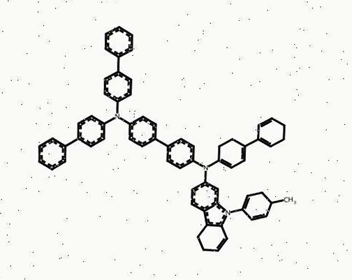 CC1C=CC(n2c3c(c4ccc(N(C5=CC=C(C6=CCCC=C6)CC5)c5ccc(-c6ccc(N(c7ccc(-c8ccccc8)cc7)c7ccc(-c8ccccc8)cc7)cc6)cc5)cc42)CCC=C3)=CC1